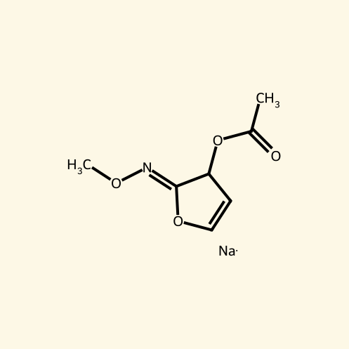 CON=C1OC=CC1OC(C)=O.[Na]